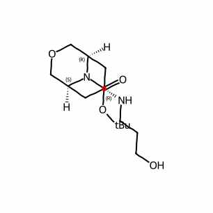 CC(C)(C)OC(=O)N1[C@@H]2COC[C@H]1C[C@H](NCCCO)C2